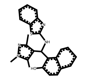 Cc1nn(C)c(C)c1C(Nc1nc2ccccc2s1)c1c(O)ccc2ccccc12